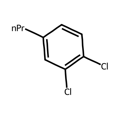 CCCc1ccc(Cl)c(Cl)c1